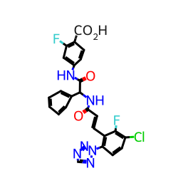 O=C(C=Cc1c(-n2ncnn2)ccc(Cl)c1F)NC(C(=O)Nc1ccc(C(=O)O)c(F)c1)c1ccccc1